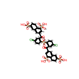 O=C(c1cc(S(=O)(=O)O)c2ccc(S(=O)(=O)O)cc2c1)c1cc(Cl)ccc1S(=O)(=O)c1ccc(Cl)cc1C(=O)c1cc(S(=O)(=O)O)c2ccc(S(=O)(=O)O)cc2c1